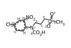 CS(=O)(=O)CCCN(C(=O)O)c1ccc(Cl)cc1[N+](=O)[O-]